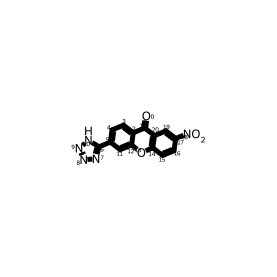 O=c1c2ccc(-c3nnn[nH]3)cc2oc2ccc([N+](=O)[O-])cc12